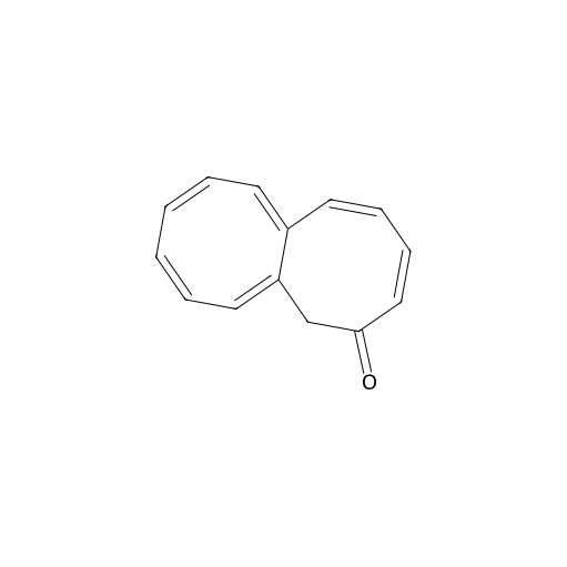 O=C1C=CC=CC2=CC=CC=CC=C2C1